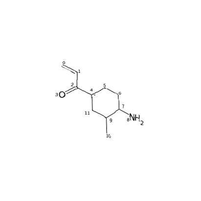 C=CC(=O)[C]1CCC(N)C(C)C1